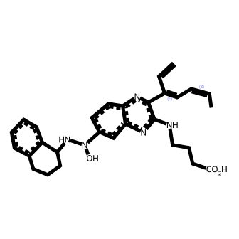 C=C/C(=C\C=C/C)c1nc2ccc(N(O)NC3CCCc4ccccc43)cc2nc1NCCCC(=O)O